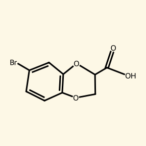 O=C(O)C1COc2ccc(Br)cc2O1